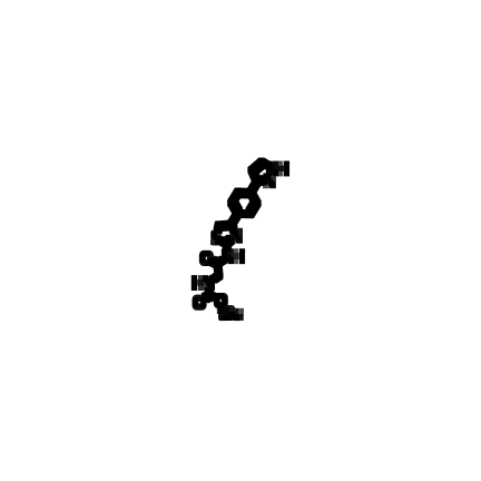 CC(C)(C)OC(=O)NCC(=O)Nc1nc(-c2ccc(-c3cc[nH]n3)cc2)cs1